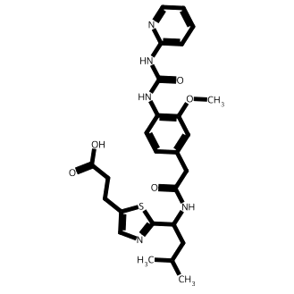 COc1cc(CC(=O)NC(CC(C)C)c2ncc(CCC(=O)O)s2)ccc1NC(=O)Nc1ccccn1